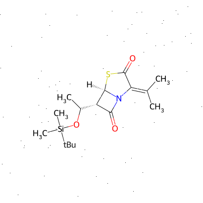 CC(C)=C1C(=O)S[C@@H]2[C@@H](C(C)O[Si](C)(C)C(C)(C)C)C(=O)N12